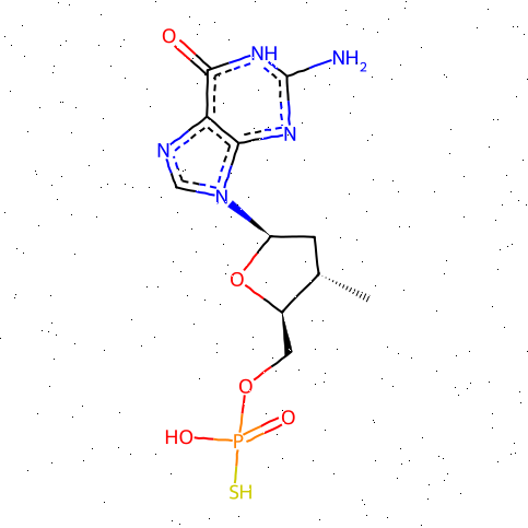 C[C@H]1C[C@H](n2cnc3c(=O)[nH]c(N)nc32)O[C@@H]1COP(=O)(O)S